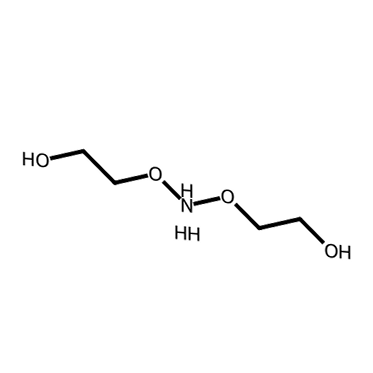 OCCONOCCO.[HH]